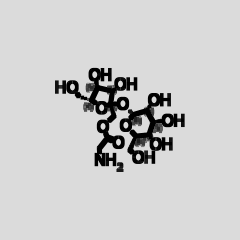 NCC(=O)OC[C@@]1(O[C@H]2O[C@H](CO)[C@@H](O)[C@H](O)[C@H]2O)O[C@H](CO)[C@@H](O)[C@@H]1O